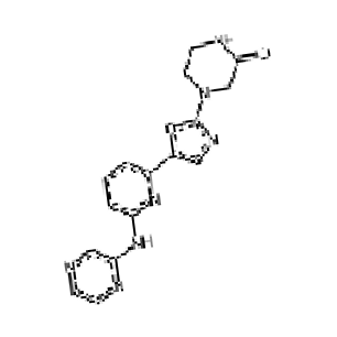 O=C1CN(c2ncc(-c3cccc(Nc4cnccn4)n3)o2)CCN1